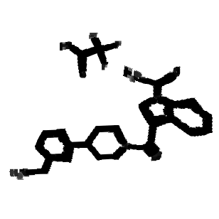 CC(=O)n1cc(C(=O)N2CCC(c3cccc(CN)c3)CC2)c2ccccc21.O=C(O)C(F)(F)F